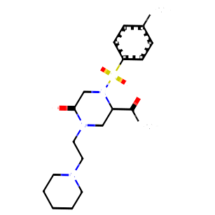 COC(=O)C1CN(CCN2CCCCC2)C(=O)CN1S(=O)(=O)c1ccc(OC)cc1